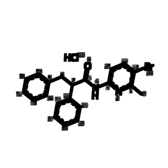 Cc1nc(NC(=O)C(Cc2ccccc2)c2ccccc2)ccc1Br.Cl